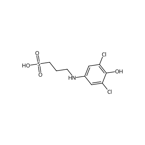 O=S(=O)(O)CCCNc1cc(Cl)c(O)c(Cl)c1